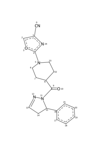 N#Cc1coc(N2CCC(C(=O)N3N=CCC3c3ccccc3)CC2)n1